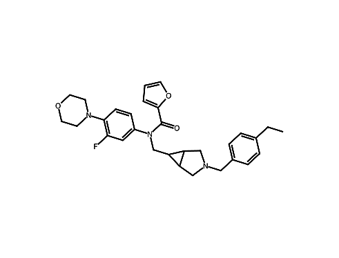 CCc1ccc(CN2CC3C(C2)C3CN(C(=O)c2ccco2)c2ccc(N3CCOCC3)c(F)c2)cc1